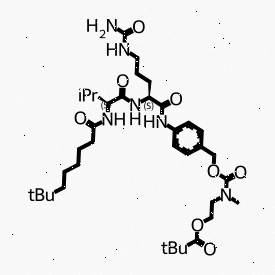 CC(C)[C@H](NC(=O)CCCCCC(C)(C)C)C(=O)N[C@@H](CCCNC(N)=O)C(=O)Nc1ccc(COC(=O)N(C)CCOC(=O)C(C)(C)C)cc1